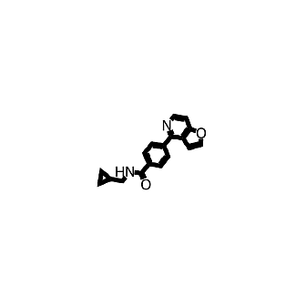 O=C(NCC1CC1)c1ccc(-c2nccc3occc23)cc1